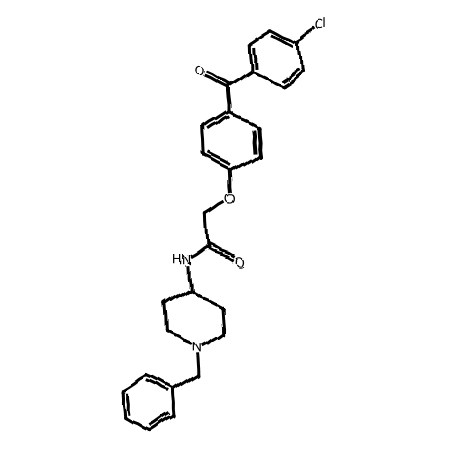 O=C(COc1ccc(C(=O)c2ccc(Cl)cc2)cc1)NC1CCN(Cc2ccccc2)CC1